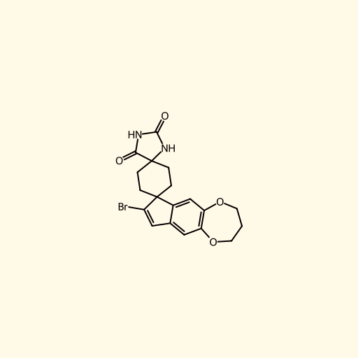 O=C1NC(=O)C2(CCC3(CC2)C(Br)=Cc2cc4c(cc23)OCCCO4)N1